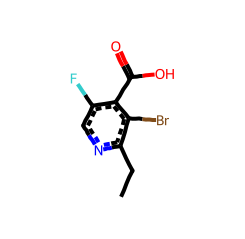 CCc1ncc(F)c(C(=O)O)c1Br